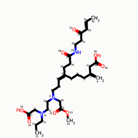 C=C(CCC/C(=C\CCN(CCN(CCC)CC(=O)O)CC(=O)OC)CCC(=O)NCCC(=O)/C=C/C)CC(=O)O